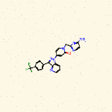 Nc1ccnc(Cn2ccc(-n3nc(-c4ccc(C(F)(F)F)cc4)c4ncccc43)cc2=O)n1